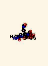 BC(B)(O)C(B)(O)N(c1cc(-c2ccc(CN3CCOCC3)cc2)cc(C(=O)NCc2c(C)cc(C)[nH]c2=O)c1C)C1CCOCC1